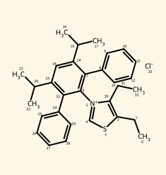 CCc1sc[n+](-c2c(-c3ccccc3)c(C(C)C)cc(C(C)C)c2-c2ccccc2)c1CC.[Cl-]